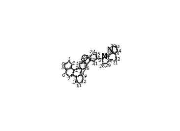 c1ccc2c(c1)ccc1c3ccccc3c3cc4c(cc3c21)oc1ccc(-c2ccc3ccc5cccnc5c3n2)cc14